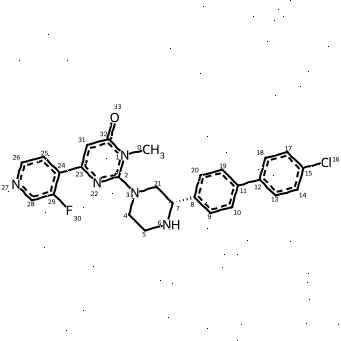 Cn1c(N2CCN[C@@H](c3ccc(-c4ccc(Cl)cc4)cc3)C2)nc(-c2ccncc2F)cc1=O